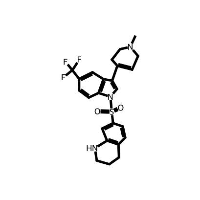 CN1CC=C(c2cn(S(=O)(=O)c3ccc4c(c3)NCCC4)c3ccc(C(F)(F)F)cc23)CC1